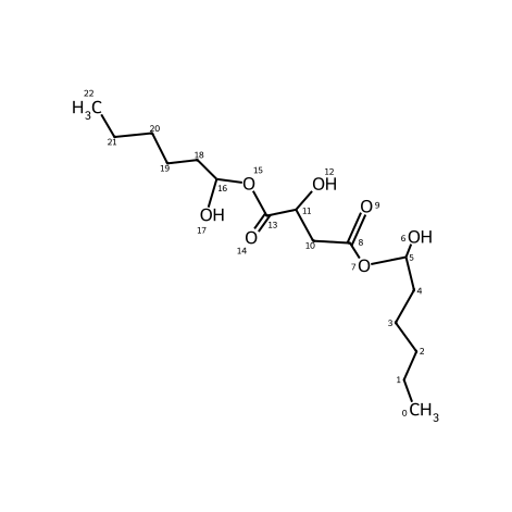 CCCCCC(O)OC(=O)CC(O)C(=O)OC(O)CCCCC